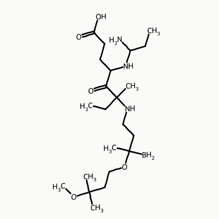 BC(C)(CCNC(C)(CC)C(=O)C(CCC(=O)O)NC(N)CC)OCCC(C)(C)OC